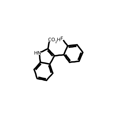 O=C(O)c1[nH]c2ccccc2c1-c1ccccc1F